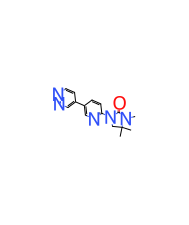 CN1C(=O)N(c2ccc(-c3ccnnc3)cn2)CC1(C)C